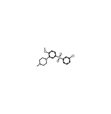 COc1ccc(S(=O)(=O)c2cccc(Cl)c2)cc1N1CCN(C)CC1